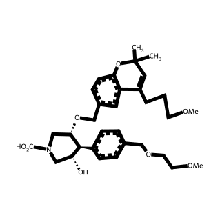 COCCCC1=CC(C)(C)Oc2ccc(CO[C@H]3CN(C(=O)O)C[C@@H](O)[C@@H]3c3ccc(COCCOC)cc3)cc21